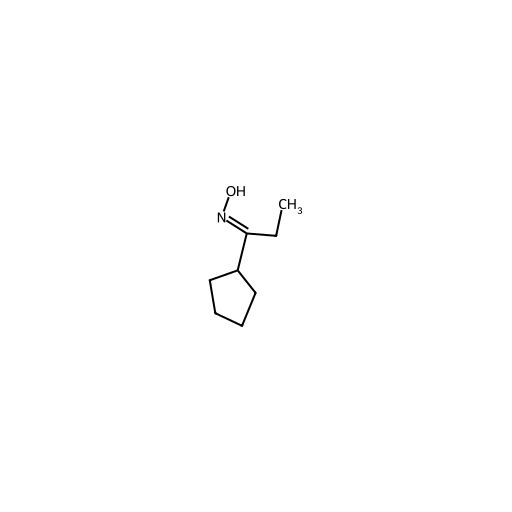 CCC(=NO)C1CCCC1